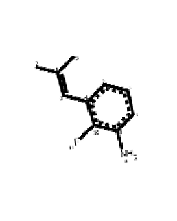 CC(C)=Cc1cccc(N)c1F